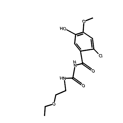 CCOCCNC(=O)NC(=O)c1cc(O)c(OC)cc1Cl